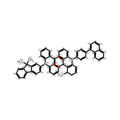 CC1CC=CC(N(c2ccccc2)c2ccc(-c3cccc4ccccc34)cc2)=C1C1C=CC(c2ccccc2N(c2ccccc2)c2ccc3c(c2)C(C)(C)c2ccccc2-3)=CC1